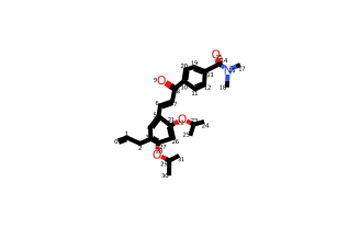 C=CCc1cc(/C=C/C(=O)c2ccc(C(=O)N(C)C)cc2)c(OC(C)C)cc1OC(C)C